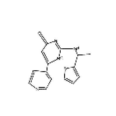 CC(Nc1nc(=O)cc(-c2ccncc2)[nH]1)c1cccs1